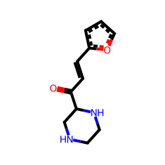 O=C(C=Cc1ccco1)C1CNCCN1